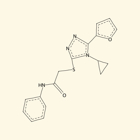 O=C(CSc1nnc(-c2ccco2)n1C1CC1)Nc1ccccc1